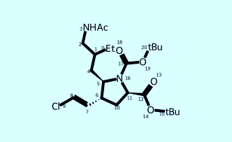 CCC(CNC(C)=O)C[C@@H]1[C@@H](C=CCl)C[C@H](C(=O)OC(C)(C)C)N1C(=O)OC(C)(C)C